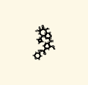 COc1cc(C(=O)NC2CCOCC2)ccc1Nc1ncc2c(n1)N(C1=CC=C1)CC(F)(F)C(=O)N2C